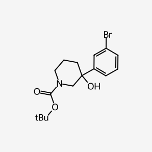 CC(C)(C)OC(=O)N1CCCC(O)(c2cccc(Br)c2)C1